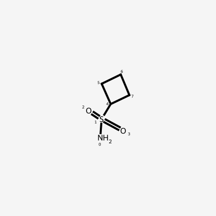 NS(=O)(=O)C1CCC1